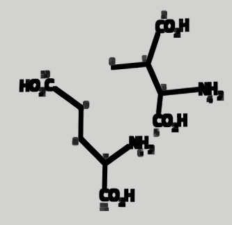 CC(C(=O)O)C(N)C(=O)O.NC(CCC(=O)O)C(=O)O